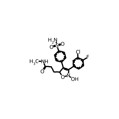 CNC(=O)CCC1ON(O)C(c2ccc(F)c(Cl)c2)=C1c1ccc(S(N)(=O)=O)cc1